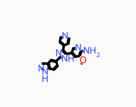 COc1cc(-c2[nH]c(-c3ccc4[nH]ncc4c3)nc2-c2ccncc2)cnc1N